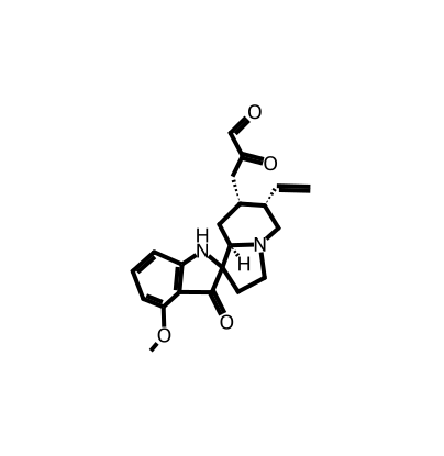 C=C[C@@H]1CN2CCC3(Nc4cccc(OC)c4C3=O)[C@H]2C[C@@H]1CC(=O)C=O